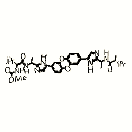 COC(=O)N[C@H](C(=O)N[C@@H](C)c1ncc(-c2ccc3c(c2)Oc2ccc(-c4cnc([C@H](C)NC(=O)[C@@H](C)C(C)C)[nH]4)cc2O3)[nH]1)C(C)C